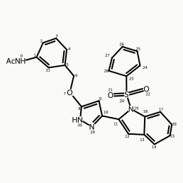 CC(=O)Nc1cccc(COc2cc(-c3cc4ccccc4n3S(=O)(=O)c3ccccc3)n[nH]2)c1